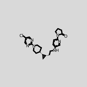 O=C1CCCN1c1ccc(NCC[C@@H]2C[C@@H]2C2CCN(c3ncc(Cl)cn3)CC2)cn1